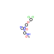 C=CC(=O)Nc1cccc(-n2c(=O)n(-c3ccc(OCc4ccc(Cl)c(Cl)c4)cc3)c3cnccc32)c1